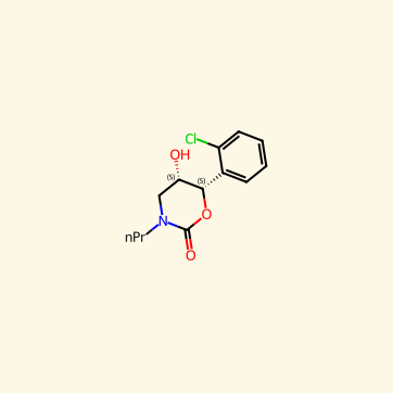 CCCN1C[C@H](O)[C@H](c2ccccc2Cl)OC1=O